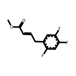 COC(=O)C=CCc1cc(F)c(F)cc1F